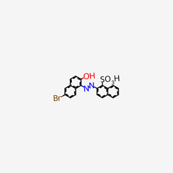 O=S(=O)(O)c1c(N=Nc2c(O)ccc3cc(Br)ccc23)ccc2ccccc12